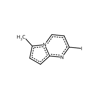 Cc1ccc2nc(I)ccn12